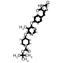 Cc1c(Oc2ccc(/C=C3/SC(=O)NC3=O)cc2)ncnc1OC1CCN(C(=O)OC(C)(C)C)CC1